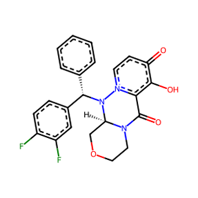 O=C1c2c(O)c(=O)ccn2N([C@@H](c2ccccc2)c2ccc(F)c(F)c2)[C@@H]2COCCN12